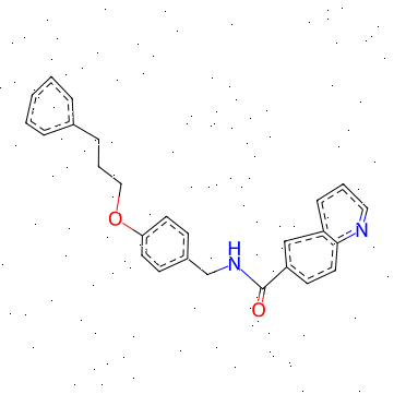 O=C(NCc1ccc(OCCCc2ccccc2)cc1)c1ccc2ncccc2c1